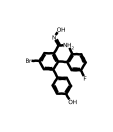 Cc1ccc(F)cc1-c1c(/C(N)=N/O)cc(Br)cc1-c1ccc(O)cc1